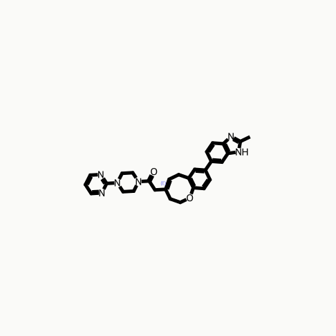 Cc1nc2ccc(-c3ccc4c(c3)C/C=C(/CC(=O)N3CCN(c5ncccn5)CC3)CCO4)cc2[nH]1